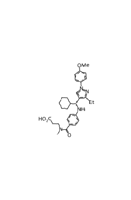 CCc1nn(-c2ccc(OC)cc2)cc1C(Nc1ccc(C(=O)N(C)CCC(=O)O)cc1)C1CCCCC1